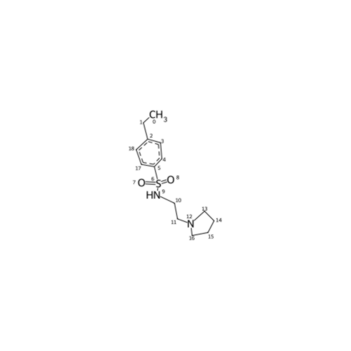 CCc1ccc(S(=O)(=O)NCCN2CCCC2)cc1